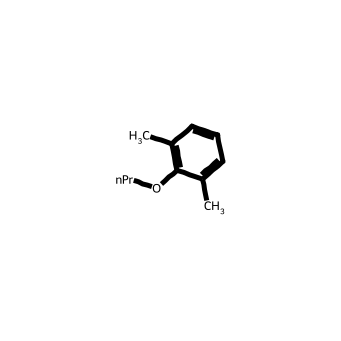 C[CH]COc1c(C)cccc1C